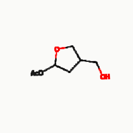 CC(=O)OC1CC(CO)CO1